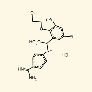 CCCc1cc(CC)cc(C(Nc2ccc(C(=N)N)cc2)C(=O)O)c1OCCO.Cl